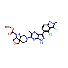 Cc1nc2c(-c3ccc4nn(C)c(Cl)c4c3Cl)n[nH]c2nc1N1CCC2(CC1)COC[C@H]2NC(=O)OC(C)(C)C